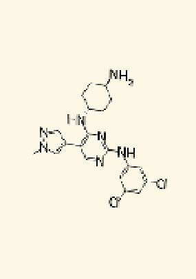 Cn1cc(-c2cnc(Nc3cc(Cl)cc(Cl)c3)nc2N[C@H]2CC[C@H](N)CC2)cn1